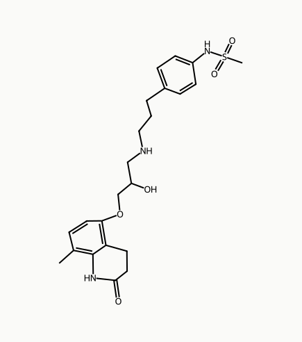 Cc1ccc(OCC(O)CNCCCc2ccc(NS(C)(=O)=O)cc2)c2c1NC(=O)CC2